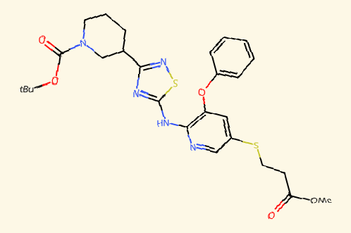 COC(=O)CCSc1cnc(Nc2nc(C3CCCN(C(=O)OC(C)(C)C)C3)ns2)c(Oc2ccccc2)c1